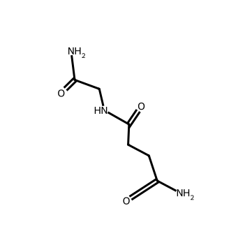 NC(=O)CCC(=O)NCC(N)=O